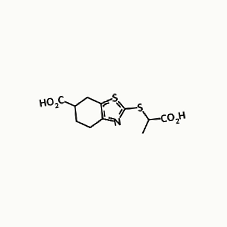 CC(Sc1nc2c(s1)CC(C(=O)O)CC2)C(=O)O